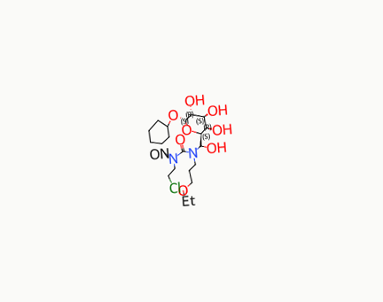 CCOCCCN(C(=O)N(CCCl)N=O)C(O)[C@H]1O[C@H](OC2CCCCC2)[C@H](O)[C@@H](O)[C@H]1O